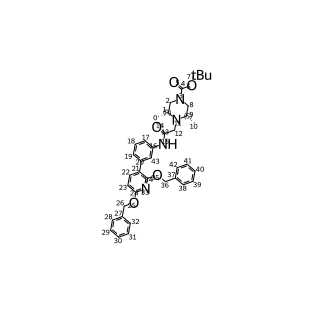 C[C@@H]1CN(C(=O)OC(C)(C)C)C[C@H](C)N1CC(=O)Nc1cccc(-c2ccc(OCc3ccccc3)nc2OCc2ccccc2)c1